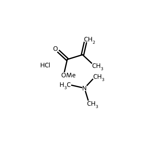 C=C(C)C(=O)OC.CN(C)C.Cl